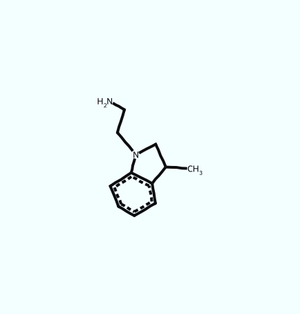 CC1CN(CCN)c2ccccc21